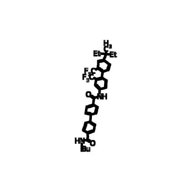 CCC(C)NC(=O)c1ccc(-c2ccc(C(=O)Nc3ccc(-c4ccc(C(C)(CC)CC)cc4C(F)(F)F)c(C(F)(F)F)c3)cc2)cc1